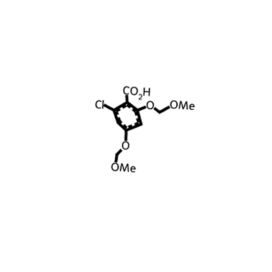 COCOc1cc(Cl)c(C(=O)O)c(OCOC)c1